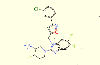 NC1CN(c2nc3cc(F)c(F)cc3n2Cc2cc(-c3cccc(Cl)c3)no2)CCC1F